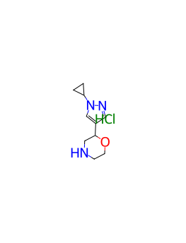 Cl.c1nn(C2CC2)cc1C1CNCCO1